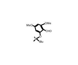 COc1cc(OC)c(C=O)c(O[Si](C)(C)C(C)(C)C)c1